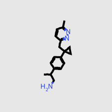 Cc1ccc(CC2(c3ccc(C(C)CN)cc3)CC2)nn1